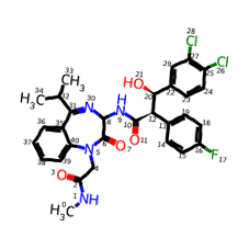 CNC(=O)CN1C(=O)C(NC(=O)[C@H](c2ccc(F)cc2)[C@@H](O)c2ccc(Cl)c(Cl)c2)N=C(C(C)C)c2ccccc21